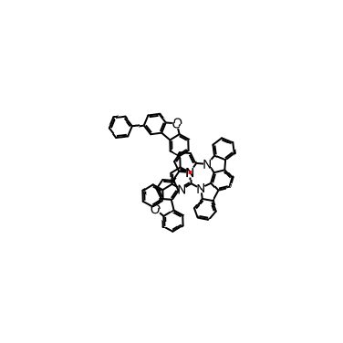 c1ccc(-c2ccc3oc4ccc(-c5cc(-c6ccccc6)nc(-n6c7ccccc7c7ccc8c9ccccc9n(-c9cccc(-c%10ccc%11oc%12ccccc%12c%11c%10)n9)c8c76)n5)cc4c3c2)cc1